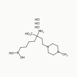 CN1CCN(CCC(N)(CCCCB(O)O)C(=O)O)CC1.Cl.Cl.Cl